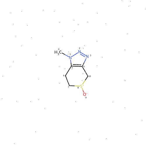 Cn1nnc2c1CC[S+]([O-])C2